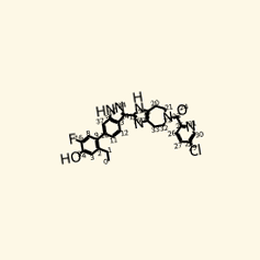 CCc1cc(O)c(F)cc1-c1ccc2c(-c3nc4c([nH]3)CCN(C(=O)c3ccc(Cl)cn3)CC4)n[nH]c2c1